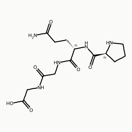 NC(=O)CC[C@H](NC(=O)[C@@H]1CCCN1)C(=O)NCC(=O)NCC(=O)O